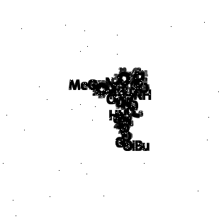 C=C[C@@H]1C[C@]1(NC(=O)[C@@H]1C[C@@H](Oc2cc(-c3ccccc3)nc3cc(OC)ccc23)CN1C(=O)C(NC(=O)OC1CCCC1)C(C)(C)C)P(C)(=O)OCOC(=O)OCC(C)C